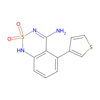 NC1=NS(=O)(=O)Nc2cccc(-c3ccsc3)c21